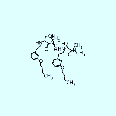 CCCCOc1cccc(CCNC(C)C(=O)N(C)C)c1.CCCCOc1cccc(CCNC(CO)C(=O)N(C)C)c1